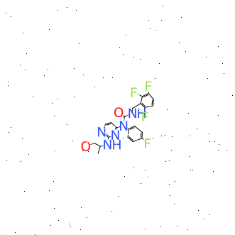 COCC(C)Nc1nccc(N(C(=O)NCc2c(F)ccc(F)c2F)c2ccc(F)cc2)n1